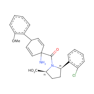 COc1ccccc1C1C=CC(N)(C(=O)N2[C@@H](c3ccccc3Cl)CC[C@H]2C(=O)O)C=C1